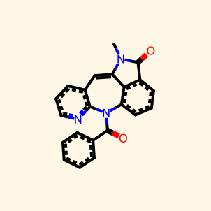 CN1C(=O)c2cccc3c2C1=Cc1cccnc1N3C(=O)c1ccccc1